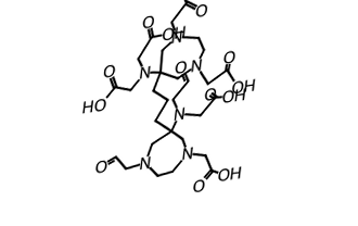 O=CCN1CCN(CC(=O)O)CC(CCCC2(N(CC(=O)O)CC(=O)O)CN(CC(=O)O)CCN(CC(=O)O)C2)(N(CC=O)CC(=O)O)C1